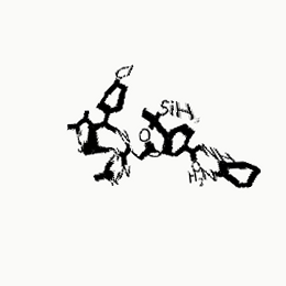 Cc1sc2c(c1C)C(c1ccc(Cl)cc1)=N[C@@H](CC(=O)OC(C)([SiH3])c1ccc(C(=O)Nc3ccccc3N)cc1)c1nnc(C)n1-2